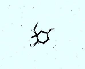 CC(C)N1CCC(O)C(C)(OI)C1